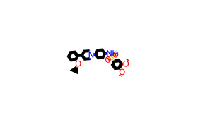 COc1ccc(S(=O)(=O)NC2CCC(N3CCC(c4ccccc4OC4CC4)CC3)CC2)cc1OC